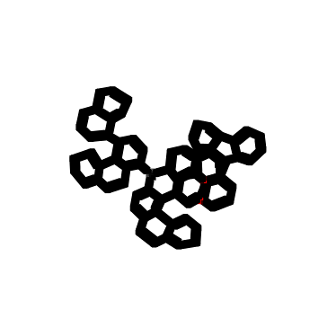 c1cc(-c2ccccc2-n2c3ccccc3c3ccccc32)cc(N(c2ccc3ccc4ccccc4c3c2-c2ccc3ccccc3c2)c2ccc(-c3cccc4ccccc34)c3c2ccc2ccccc23)c1